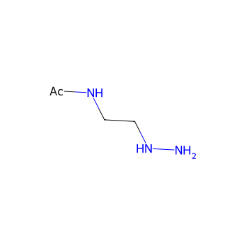 CC(=O)NCCNN